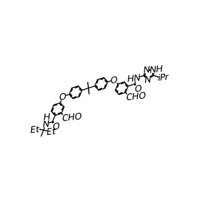 CCC(C)(CC)NC(=O)c1ccc(Oc2ccc(C(C)(C)c3ccc(Oc4ccc(C=O)c(C(=O)Nc5n[nH]c(C(C)C)n5)c4)cc3)cc2)cc1C=O